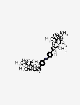 CCCN(Cc1ncc(-c2ccc(/C=C/c3ccc(-c4cnc([C@H](C)N(CCC)C(=O)[C@@H](NC(=O)OC)C(C)C)[nH]4)cc3)cc2)[nH]1)C(=O)[C@@H](NC(=O)OC)C(C)C